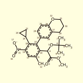 COC(=O)C(OC(C)(C)C)c1c(C)cc([N+](=O)[O-])c(C2CC2)c1-c1ccc2c(c1)CCCO2